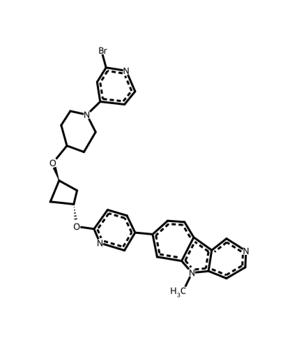 Cn1c2ccncc2c2ccc(-c3ccc(O[C@H]4C[C@H](OC5CCN(c6ccnc(Br)c6)CC5)C4)nc3)cc21